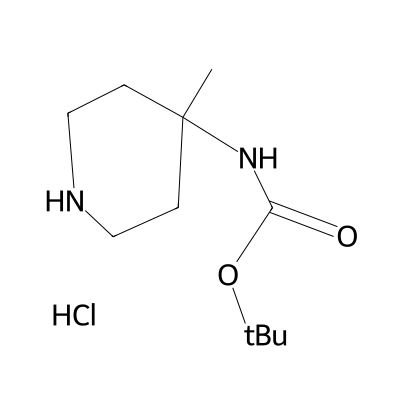 CC1(NC(=O)OC(C)(C)C)CCNCC1.Cl